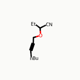 CCCCC#CCOC(C#N)CC